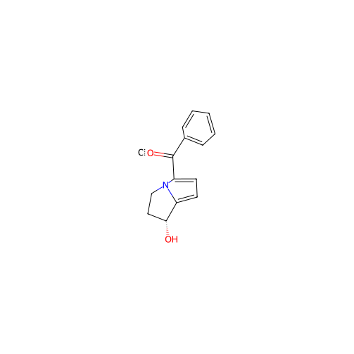 O=C(c1ccccc1)c1ccc2n1CC[C@H]2O.[C]